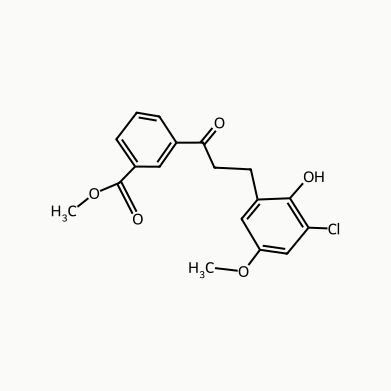 COC(=O)c1cccc(C(=O)CCc2cc(OC)cc(Cl)c2O)c1